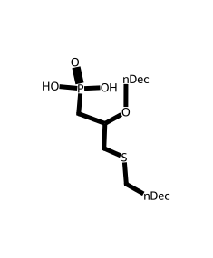 CCCCCCCCCCCSCC(CP(=O)(O)O)OCCCCCCCCCC